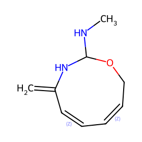 C=C1/C=C\C=C/COC(NC)N1